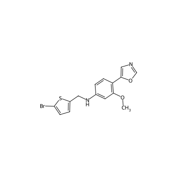 COc1cc(NCc2ccc(Br)s2)ccc1-c1cnco1